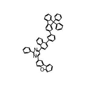 c1ccc(-c2nc(-c3ccc4oc5ccccc5c4c3)cc(-c3ccc(-c4cccc(-c5ccc6c(c5)C(c5ccccc5)(c5ccccc5)c5ccccc5-6)c4)c4ccccc34)n2)cc1